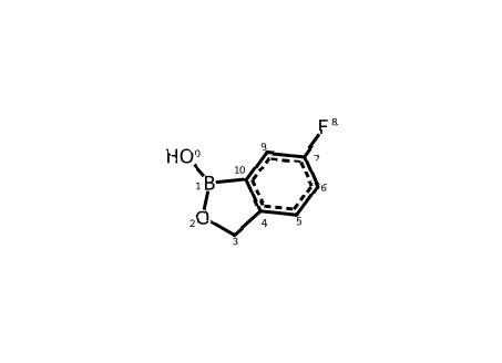 OB1OCc2ccc(F)cc21